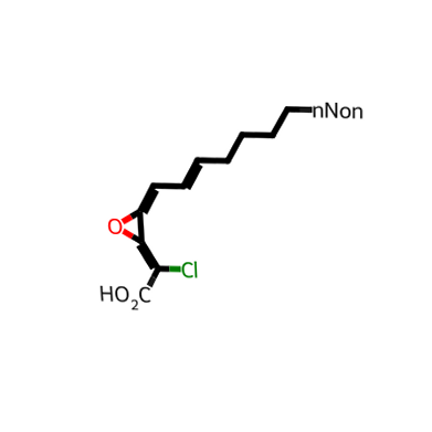 CCCCCCCCCCCCCC=CC=C1OC1=C(Cl)C(=O)O